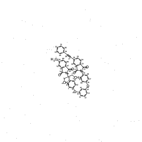 CCC(CC)(c1ccc(Oc2cccc(Oc3ccc(N4C(=O)c5ccc(C#Cc6ccccc6)cc5C4=O)cc3)c2)cc1)N1C(=O)c2ccc(C)cc2C1=O